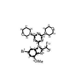 COc1cc(Br)cc2c1nc(C(F)F)n2-c1nc(N2CCOCC2)nc(N2CCCOC2)n1